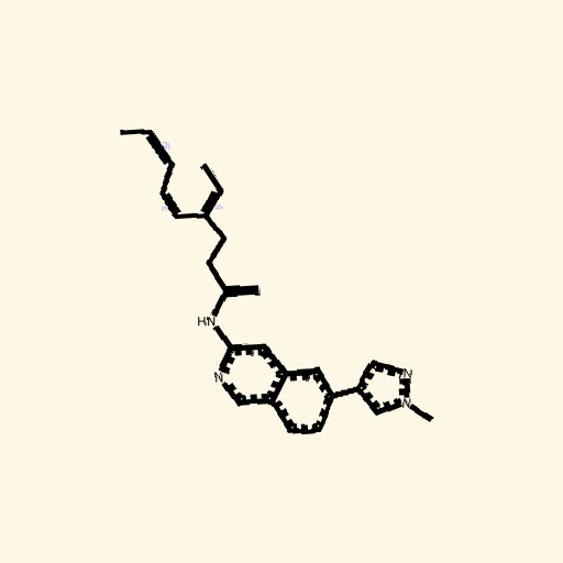 C=C(CCC(/C=C\C=C/C)=C/C)Nc1cc2cc(-c3cnn(C)c3)ccc2cn1